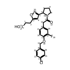 O=C(O)CCc1cc(C2CCCN2C(=O)Cc2ccc(OCc3ccc(Cl)cc3)c(F)c2)no1